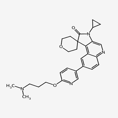 CN(C)CCCOc1ccc(-c2ccc3ncc4c(c3c2)C2(CCOCC2)C(=O)N4C2CC2)cn1